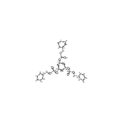 O=C(OCc1ccccc1)Oc1nc(OC(=O)OCc2ccccc2)nc(OC(=O)OCc2ccccc2)n1